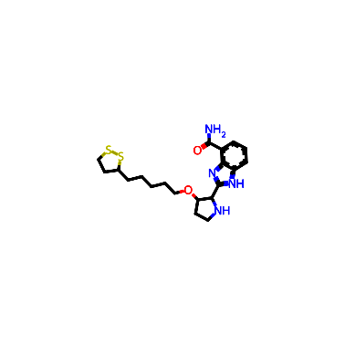 NC(=O)c1cccc2[nH]c(C3NCCC3OCCCCCC3CCSS3)nc12